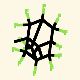 CC1(C)C2(C)C(F)(F)C3(F)C(F)(F)C1(F)C(F)(F)C(F)(C2(F)F)C3(F)F